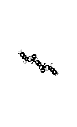 O=C1C(=Cc2cc3c(s2)C2=CC4C=C5OC6(CCCCC6)c6cc(/C=C7\C(=O)c8cc9c(cc8C7=O)CC(F)C(F)=C9)sc6C5=CC4C=C2OC32CCCCC2)C(=O)c2cc3cc(F)c(F)cc3cc21